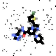 CC1CCN(c2cc(C(=O)N[C@@H](C)c3nnc[nH]3)cn3c(-c4ccc(Cl)s4)cnc23)CC1